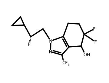 OC1c2c(C(F)(F)F)nn(C[C@H](F)C3CC3)c2CCC1(F)F